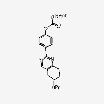 CCCCCCCC(=O)Oc1ccc(-c2ncc3c(n2)CCC(CCC)C3)cc1